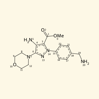 COC(=O)c1c(N)c(N2CCOCC2)nn1-c1ccc(CN)cc1